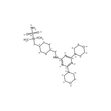 C[N+](C)(CC1CCC(CNc2nc(N3CCOCC3)nc(N3CCOCC3)n2)CC1)S(N)(=O)=O